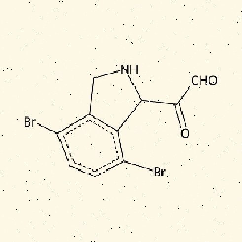 O=CC(=O)C1NCc2c(Br)ccc(Br)c21